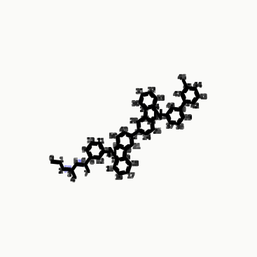 C=C/C=C(C)\C=C(/C)c1cccc(-n2c3ccccc3c3cc(-c4ccc5c(c4)c4ccccc4n5-c4cccc(-c5cccc(C)c5)c4)ccc32)c1